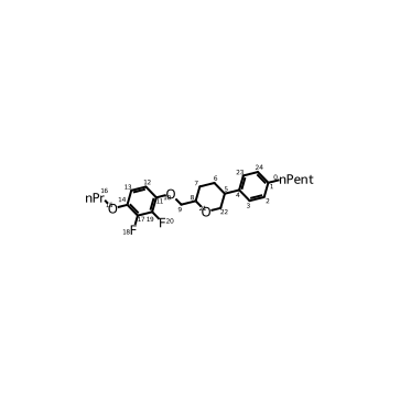 CCCCCc1ccc(C2CCC(COc3ccc(OCCC)c(F)c3F)OC2)cc1